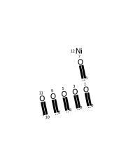 [C]=O.[C]=O.[C]=O.[C]=O.[C]=O.[C]=O.[Ni]